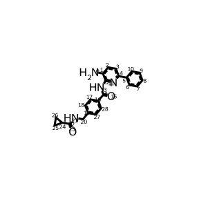 Nc1ccc(-c2ccccc2)nc1NC(=O)c1ccc(CNC(=O)C2CC2)cc1